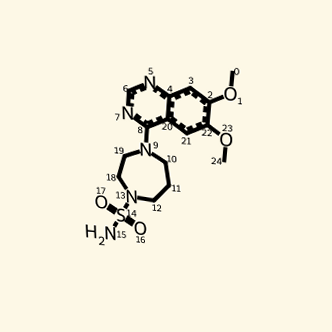 COc1cc2ncnc(N3CCCN(S(N)(=O)=O)CC3)c2cc1OC